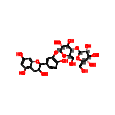 OC[C@H]1O[C@H](O[C@H]2[C@H](O)[C@@H](O)[C@@H](Oc3cc(C4Oc5cc(O)cc(O)c5CC4O)ccc3O)O[C@@H]2CO)[C@H](O)[C@@H](O)[C@@H]1O